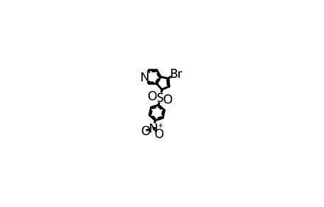 O=[N+]([O-])c1ccc(S(=O)(=O)C2C=C(Br)c3ccncc32)cc1